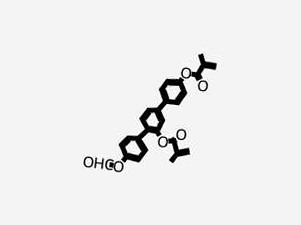 C=C(C)C(=O)Oc1ccc(-c2ccc(-c3ccc(OC=O)cc3)c(OC(=O)C(=C)C)c2)cc1